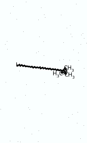 CCO[Si](CCCCCCCCCCCCCCCCCCCCCCCCCCCCCCCCCCCCI)(OCC)OCC